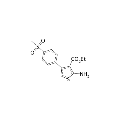 CCOC(=O)c1c(-c2ccc(S(C)(=O)=O)cc2)csc1N